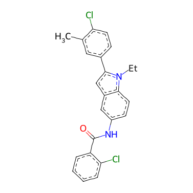 CCn1c(-c2ccc(Cl)c(C)c2)cc2cc(NC(=O)c3ccccc3Cl)ccc21